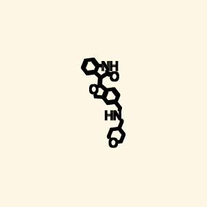 O=C1Nc2ccccc2/C1=C1\OCc2cc(CNCC3CCOCC3)ccc21